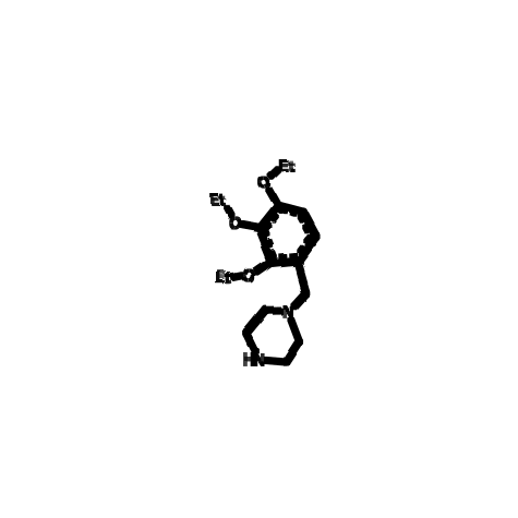 CCOc1ccc(CN2CCNCC2)c(OCC)c1OCC